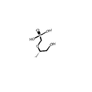 [CH2][C@@H](CO)OCP(=O)(O)O